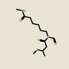 CNC(=O)CCCCCN(C=O)C(=O)CC(C)SC